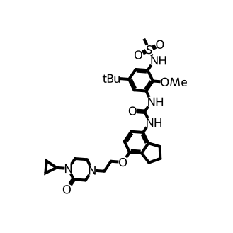 COc1c(NC(=O)Nc2ccc(OCCN3CCN(C4CC4)C(=O)C3)c3c2CCC3)cc(C(C)(C)C)cc1NS(C)(=O)=O